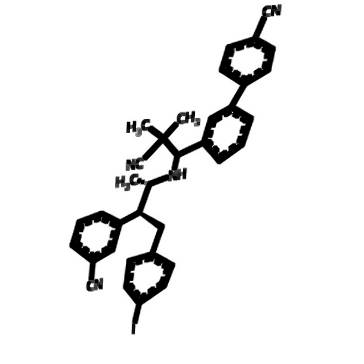 C[C@H](NC(c1cccc(-c2ccc(C#N)cc2)c1)C(C)(C)C#N)[C@@H](Cc1ccc(I)cc1)c1cccc(C#N)c1